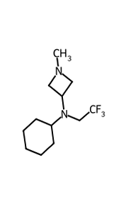 CN1CC(N(CC(F)(F)F)C2CCCCC2)C1